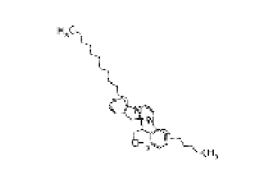 CCCCCCCCCCCCCN1C=CN(CCCCCCCC)C1(Cc1ccccc1)C(CC)c1ccccc1